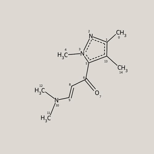 Cc1nn(C)c(C(=O)/C=C/N(C)C)c1C